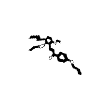 C=CCOc1ccc(C(=O)C=Cc2c(OCC)ccc(CC=C)c2OCC)cc1